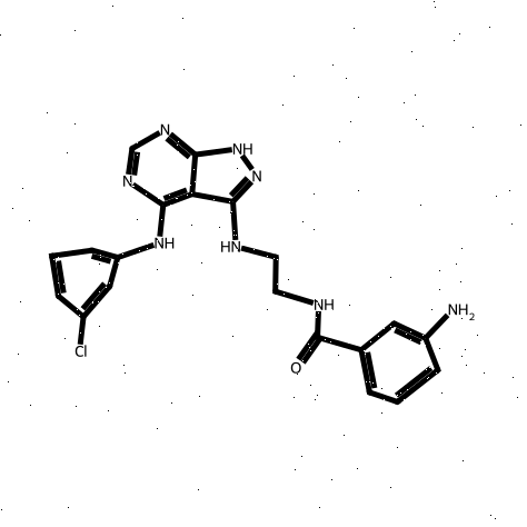 Nc1cccc(C(=O)NCCNc2n[nH]c3ncnc(Nc4cccc(Cl)c4)c23)c1